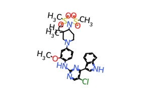 COc1cc(N2CCC(N(S(C)(=O)=O)S(C)(=O)=O)C(C)(C)C2)ccc1Nc1ncc(Cl)c(-c2c[nH]c3ccccc23)n1